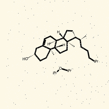 CC(C)CCC[C@@H](C)[C@H]1CC[C@H]2[C@@H]3CC=C4C[C@@H](O)CC[C@]4(C)[C@H]3CC[C@]12C.CC(C)OC(C)C